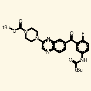 CC(C)(C)OC(=O)N1CCN(c2cnc3ccc(C(=O)c4cc(NC(=O)C(C)(C)C)ccc4F)cc3n2)CC1